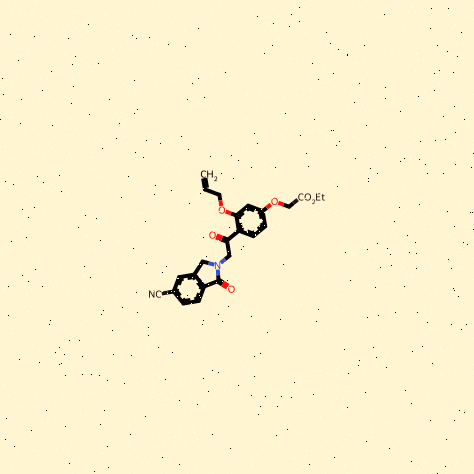 C=CCOc1cc(OCC(=O)OCC)ccc1C(=O)CN1Cc2cc(C#N)ccc2C1=O